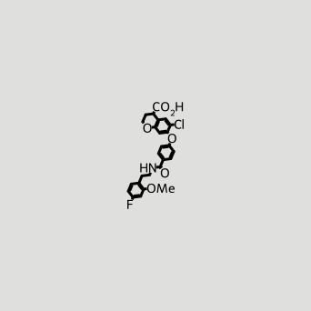 COc1cc(F)ccc1CCNC(=O)c1ccc(Oc2cc3c(cc2Cl)C(C(=O)O)CCO3)cc1